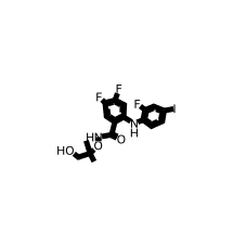 CC(C)(CO)ONC(=O)c1cc(F)c(F)cc1Nc1ccc(I)cc1F